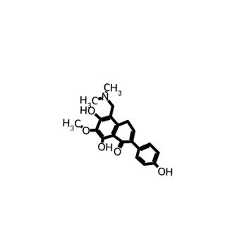 COc1c(O)c(CN(C)C)c2c(c1O)C(=O)C(c1ccc(O)cc1)=CC2